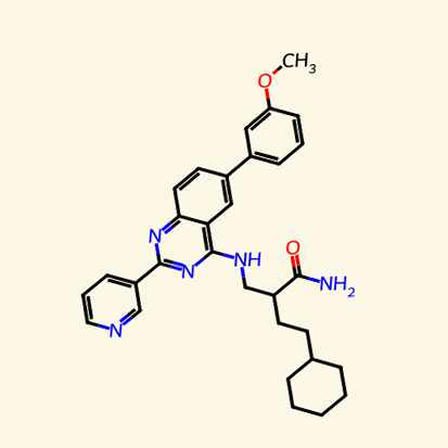 COc1cccc(-c2ccc3nc(-c4cccnc4)nc(NCC(CCC4CCCCC4)C(N)=O)c3c2)c1